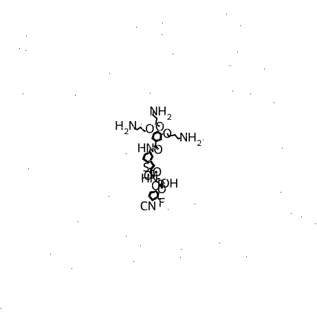 N#Cc1ccc(OP(=O)(O)CNS(=O)(=O)c2cc3cc(NC(=O)c4cc(OCCCN)c(OCCCN)c(OCCCN)c4)ccc3s2)cc1F